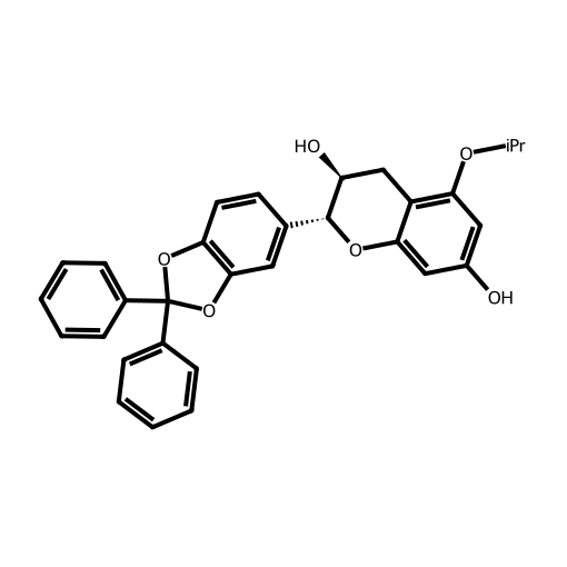 CC(C)Oc1cc(O)cc2c1C[C@H](O)[C@@H](c1ccc3c(c1)OC(c1ccccc1)(c1ccccc1)O3)O2